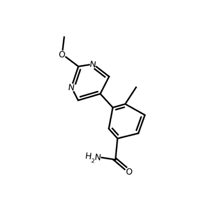 COc1ncc(-c2cc(C(N)=O)ccc2C)cn1